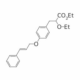 CCOC(=O)C(Cc1ccc(OCC=Cc2ccccc2)cc1)OCC